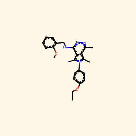 CCOc1ccc(-n2c(C)c3c(C)nnc(NCc4ccccc4OC)c3c2C)cc1